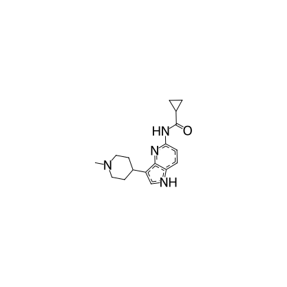 CN1CCC(c2c[nH]c3ccc(NC(=O)C4CC4)nc23)CC1